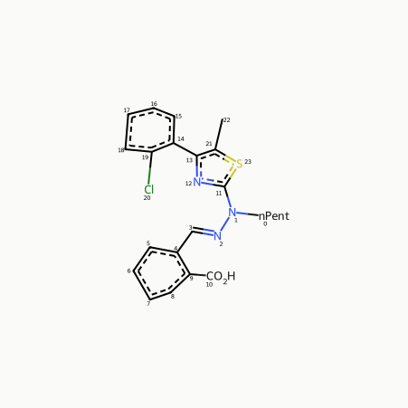 CCCCCN(N=Cc1ccccc1C(=O)O)c1nc(-c2ccccc2Cl)c(C)s1